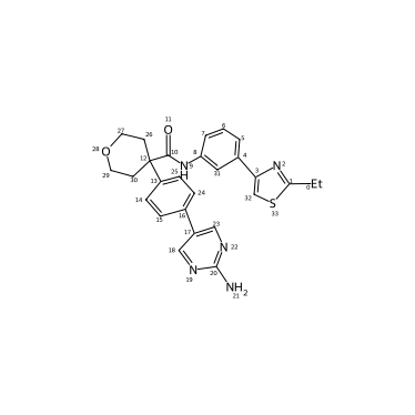 CCc1nc(-c2cccc(NC(=O)C3(c4ccc(-c5cnc(N)nc5)cc4)CCOCC3)c2)cs1